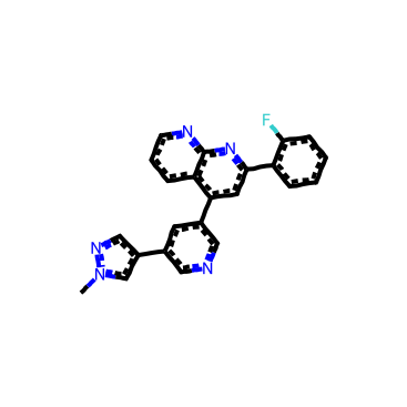 Cn1cc(-c2cncc(-c3cc(-c4ccccc4F)nc4ncccc34)c2)cn1